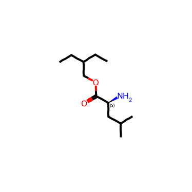 CCC(CC)COC(=O)[C@@H](N)CC(C)C